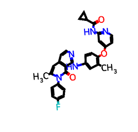 Cc1cc(Nc2nccc3cc(C)n(-c4ccc(F)cc4)c(=O)c23)ccc1Oc1ccnc(NC(=O)C2CC2)c1